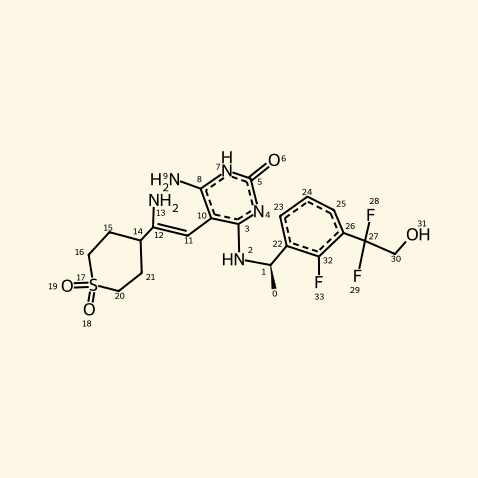 C[C@@H](Nc1nc(=O)[nH]c(N)c1/C=C(\N)C1CCS(=O)(=O)CC1)c1cccc(C(F)(F)CO)c1F